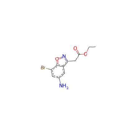 CCOC(=O)Cc1noc2c(Br)cc(N)cc12